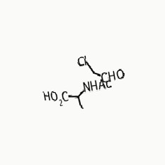 CC(=O)NC(C)C(=O)O.O=CCCl